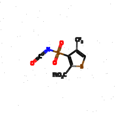 CCOC(=O)c1scc(C(F)(F)F)c1S(=O)(=O)N=C=O